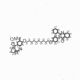 COc1cc2c(cc1OCCCCCCCCCCOc1ccc(-n3c(-c4ccccc4)nc4ccccc4c3=O)cc1)N=C[C@@H]1CCCN1C2=O